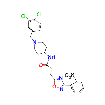 O=C(CCc1nc(-c2ccccc2[N+](=O)[O-])no1)NC1CCN(Cc2ccc(Cl)c(Cl)c2)CC1